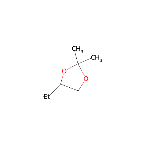 C[CH]C1COC(C)(C)O1